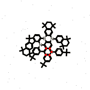 CC(C)(C)c1ccc(N(c2ccc(C(C)(C)C)cc2)c2cc3c4c(c2)N(c2ccc(C(C)(C)C)cc2-c2ccccc2)c2c(ccc5c2-c2cc6c(cc2C5(C)C)C(C)(C)CCC6(C)C)B4c2cc4c(cc2N3c2ccc3c(c2)C(C)(C)CCC3(C)C)C(C)(C)CCC4(C)C)cc1